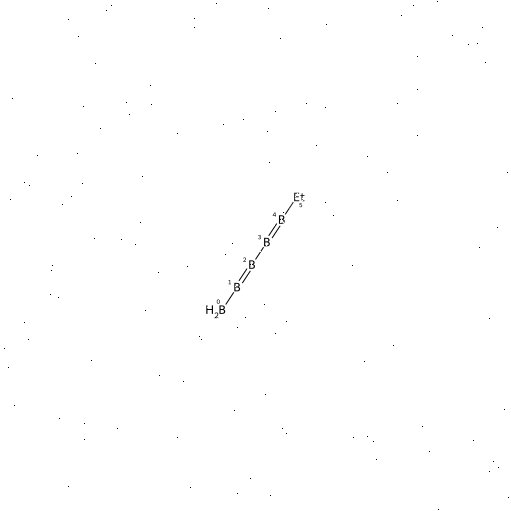 BB=BB=BCC